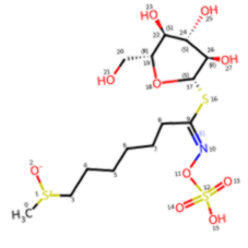 C[S+]([O-])CCCCCC/C(=N\OS(=O)(=O)O)S[C@@H]1O[C@H](CO)[C@@H](O)[C@H](O)[C@H]1O